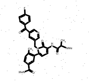 CNC(=O)c1ccc(C)c(-c2ccc(NC(=O)C(C)NC)c(=O)n2Cc2cncc(C(=O)c3ccc(F)cc3)c2)c1